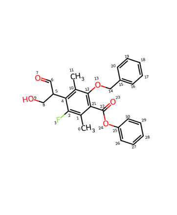 Cc1c(F)c(C(C=O)CO)c(C)c(OCc2ccccc2)c1C(=O)Oc1ccccc1